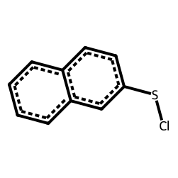 ClSc1ccc2ccccc2c1